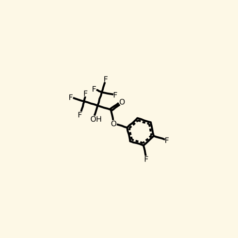 O=C(Oc1ccc(F)c(F)c1)C(O)(C(F)(F)F)C(F)(F)F